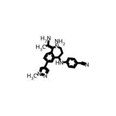 C/C(N)=C1\c2ccc(-c3cnn(C)c3)cc2C(Nc2ccc(C#N)cc2)CCN1N